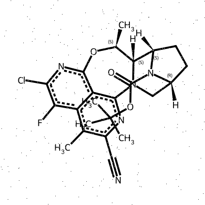 Cc1c(C#N)nc2c3c(nc(Cl)c(F)c13)O[C@@H](C)[C@@H]1[C@@H]3CC[C@H](CN21)N3C(=O)OC(C)(C)C